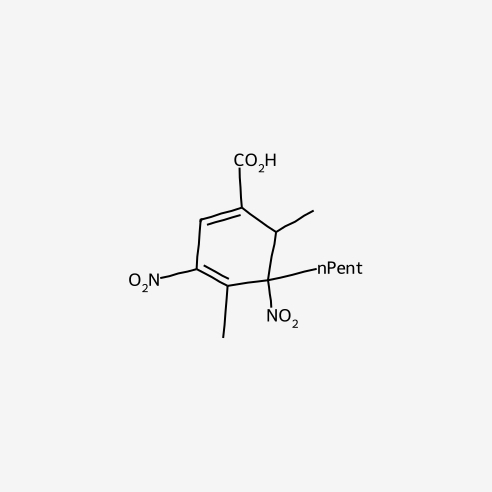 CCCCCC1([N+](=O)[O-])C(C)=C([N+](=O)[O-])C=C(C(=O)O)C1C